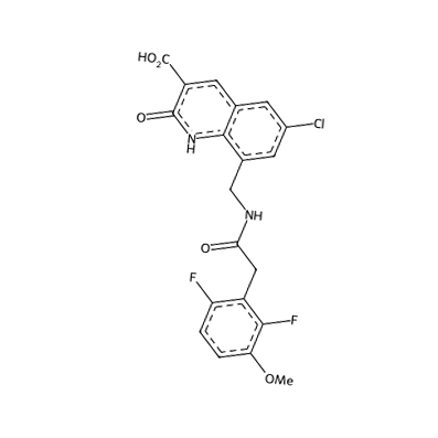 COc1ccc(F)c(CC(=O)NCc2cc(Cl)cc3cc(C(=O)O)c(=O)[nH]c23)c1F